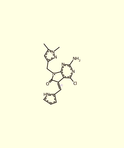 Cc1cc(CN2C(=O)/C(=C\c3ccc[nH]3)c3c(Cl)nc(N)nc32)nn1C